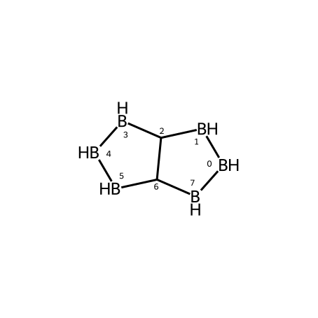 B1BC2BBBC2B1